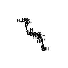 CC(=O)N[C@H](C(=O)O)C1(O)CCN(CCCCCc2ccc3c(n2)NC(C2CCC(C(=O)NC(C(=O)O)C4(O)CCN(C(=O)NCCCc5ccc6c(n5)NCCC6)CC4)C2)CC3)CC1